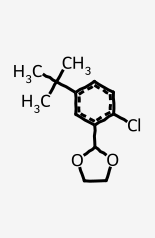 CC(C)(C)c1ccc(Cl)c(C2OCCO2)c1